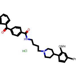 COc1cc(C(C)C)ccc1C1CCN(CCCCNC(=O)c2ccc(C(=O)c3ccccc3)cc2)CC1.Cl